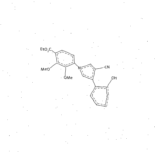 CCOC(=O)c1ccc(-n2cc(C#N)c(-c3ccccc3O)c2)c(OC)c1OC